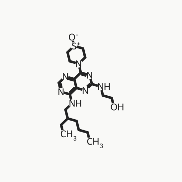 CCCCC(CC)CNc1ncnc2c(N3CC[S+]([O-])CC3)nc(NCCO)nc12